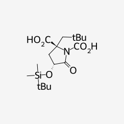 CC(C)(C)C[C@@]1(C(=O)O)C[C@@H](O[Si](C)(C)C(C)(C)C)C(=O)N1C(=O)O